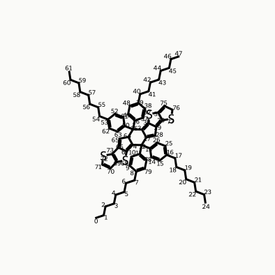 CCCCCCCCc1ccc(C2(c3ccc(CCCCCCCC)cc3)C3=Cc4c5c(sc4=C3C(c3ccc(CCCCCCCC)cc3)(c3ccc(CCCCCCCC)cc3)C3C=c4c(sc6ccsc46)=C32)=CCS5)cc1